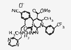 COC(=O)C1=C(C)N(c2cccc(C(F)(F)F)c2)c2n[nH]c(=O)n2C1c1ccc(C#N)cc1CC[N+](C)(C)Cc1cnccn1.[Cl-]